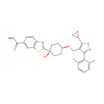 COC(=O)c1ccc2nc([C@]3(O)CC[C@@H](OCc4c(-c5c(C)cccc5C)noc4C4CC4)CC3)sc2c1